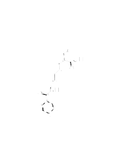 CCC(CCCCONC(=O)c1ccccc1)C(=O)O